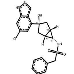 O=S(=O)(Cc1ccccc1)N[C@@H]1[C@@H]2C[C@@](O)(c3cc(Cl)cc4[nH]ncc34)C[C@@H]21